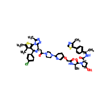 Cc1ncsc1-c1ccc([C@H](C)NC(=O)[C@@H]2C[C@@H](O)CN2C(=O)C(NC(=O)COc2ccc(N3CCN(C(=O)C[C@@H]4N=C(c5ccc(Cl)cc5)c5c(sc(C)c5C)-n5c(C)nnc54)CC3)nc2)C(C)(C)C)cc1